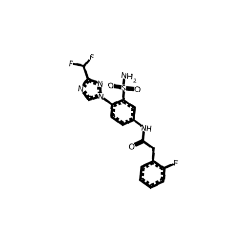 NS(=O)(=O)c1cc(NC(=O)Cc2ccccc2F)ccc1-n1cnc(C(F)F)n1